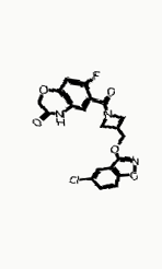 O=C1COc2cc(F)c(C(=O)N3CC(COc4noc5ccc(Cl)cc45)C3)cc2N1